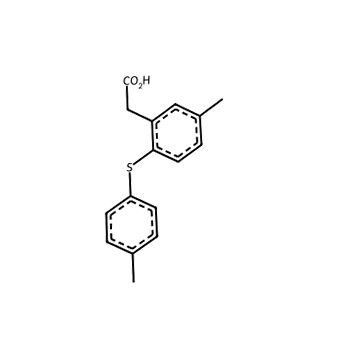 Cc1ccc(Sc2ccc(C)cc2CC(=O)O)cc1